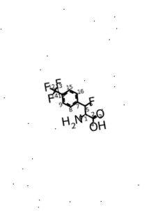 NC(C(=O)O)C(F)c1ccc(C(F)(F)F)cc1